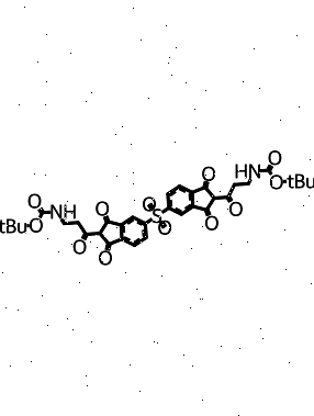 CC(C)(C)OC(=O)NCCC(=O)C1C(=O)c2ccc(S(=O)(=O)c3ccc4c(c3)C(=O)C(C(=O)CCNC(=O)OC(C)(C)C)C4=O)cc2C1=O